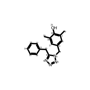 Cc1cc(Cn2nnnc2Cc2ccccc2)cc(C)c1O